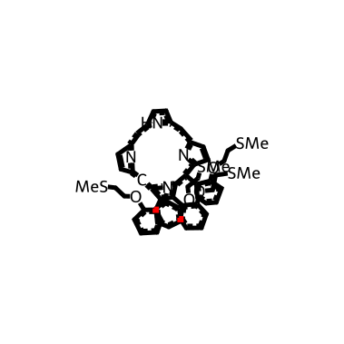 CSCCOc1ccccc1-c1c(-c2ccccc2OCCSC)c2c(-c3ccccc3OCCSC)c3nc(cc4ccc(cc5nc(cc1n2-c1ccccc1OCCSC)C=C5)[nH]4)C=C3